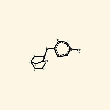 Brc1ccc(CC2CC3CCN2CC3)cc1